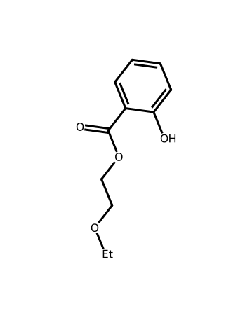 CCOCCOC(=O)c1ccccc1O